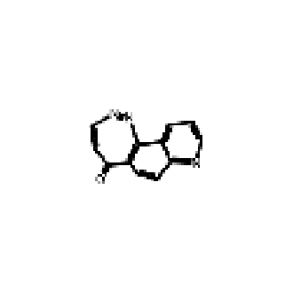 O=c1ccnnc2c1ccc1ncccc12